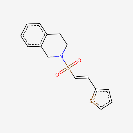 O=S(=O)(/C=C/c1cccs1)N1CCc2ccccc2C1